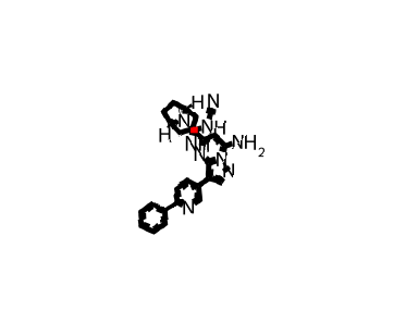 N#CNC(=N)N1[C@@H]2CC[C@H]1CC(c1cc(N)n3ncc(-c4ccc(-c5ccccc5)nc4)c3n1)C2